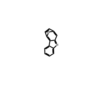 c1ccc2c3c4ccc(cc-3nc2c1)[nH]4